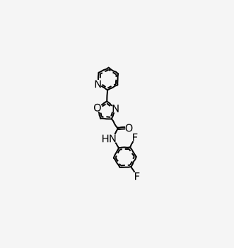 O=C(Nc1ccc(F)cc1F)c1coc(-c2ccccn2)n1